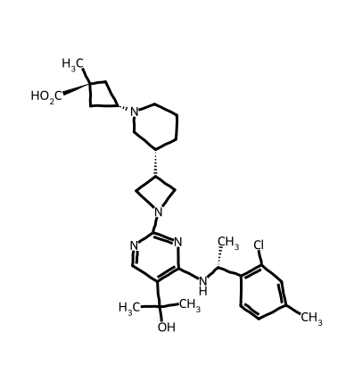 Cc1ccc([C@@H](C)Nc2nc(N3CC([C@H]4CCCN([C@H]5C[C@](C)(C(=O)O)C5)C4)C3)ncc2C(C)(C)O)c(Cl)c1